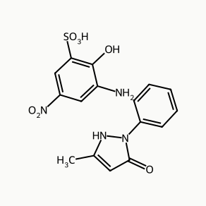 Cc1cc(=O)n(-c2ccccc2)[nH]1.Nc1cc([N+](=O)[O-])cc(S(=O)(=O)O)c1O